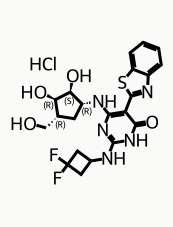 Cl.O=c1[nH]c(NC2CC(F)(F)C2)nc(N[C@@H]2C[C@H](CO)[C@@H](O)[C@H]2O)c1-c1nc2ccccc2s1